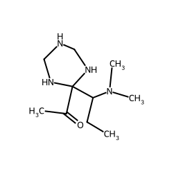 CCC(N(C)C)C1(C(C)=O)NCNCN1